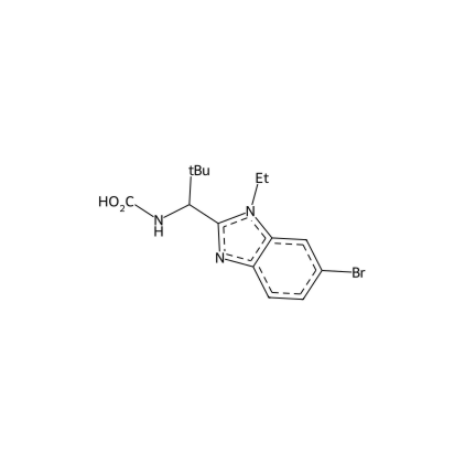 CCn1c(C(NC(=O)O)C(C)(C)C)nc2ccc(Br)cc21